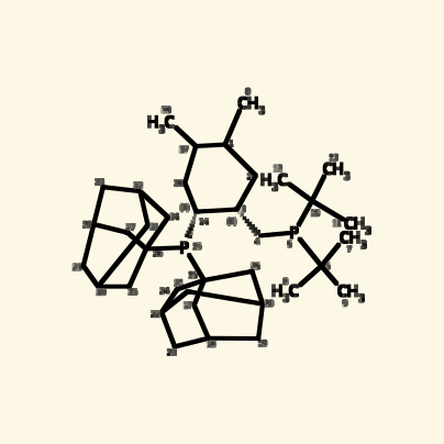 CC1C[C@H](CP(C(C)(C)C)C(C)(C)C)[C@H](P(C23CC4CC(CC(C4)C2)C3)C23CC4CC(CC(C4)C2)C3)CC1C